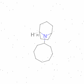 C1CCCC(N2C3CCC[C@@H]2CC3)CCC1